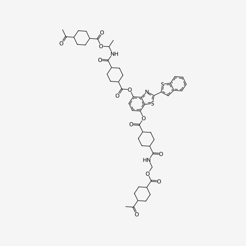 CC(=O)C1CCC(C(=O)OCNC(=O)C2CCC(C(=O)Oc3ccc(OC(=O)C4CCC(C(=O)NC(C)OC(=O)C5CCC(C(C)=O)CC5)CC4)c4nc(-c5cc6ccccc6s5)sc34)CC2)CC1